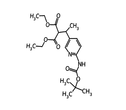 CCOC(=O)C(C(=O)OCC)C(C)c1ccc(NC(=O)OC(C)(C)C)nc1